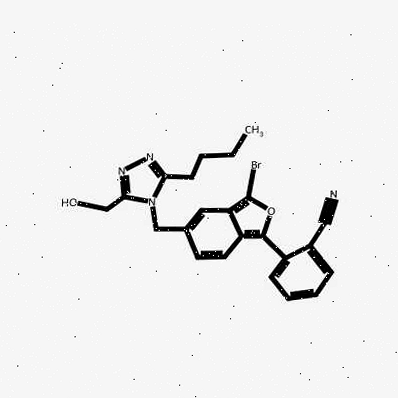 CCCCc1nnc(CO)n1Cc1ccc2c(-c3ccccc3C#N)oc(Br)c2c1